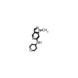 Cn1ncc2cnc(NC3CCOCC3)cc21